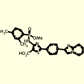 COP(=O)(Nc1nc(-c2ccc(-c3cn4ccccc4n3)cc2)sc1C(=O)O)c1ccc(C)cc1C